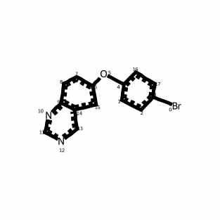 Brc1ccc(Oc2ccc3ncncc3c2)cc1